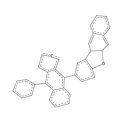 C1=c2ccccc2=CC2c3cc(-c4c5ccccc5c(-c5ccccc5)c5ccccc45)ccc3OC12